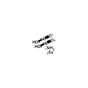 [Eu].[O]=[Al][OH].[O]=[Al][OH].[SrH2]